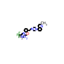 C=C1COc2c(CCN3CCN(c4cccc5nc(C)ccc45)CC3)cccc2N1/C=C(\N)C(F)(F)F